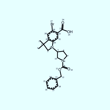 CC1(C)CN(C2CCN(C(=O)OCc3ccccc3)C2)c2cc(C(=O)O)c(Br)cc21